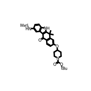 CSNc1ccc2[nH]c3c(c2c1)C(=O)c1ccc(OC2CCN(C(=O)OC(C)(C)C)CC2)cc1C3(C)C